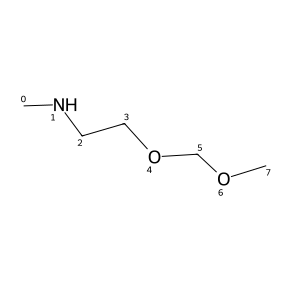 CNCCOCOC